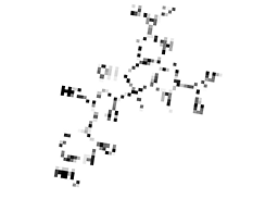 Cn1c(C(C)([CH]c2cnc([N+](=O)[O-])s2)[C@H]2O[C@@H](n3ccc(N)nc3=O)[C@@H](O)[C@@H]2O)cnc1[N+](=O)[O-]